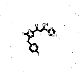 O=C(C=C(O)c1nc[nH]n1)c1cc(Cc2ccc(F)cc2)c(F)o1